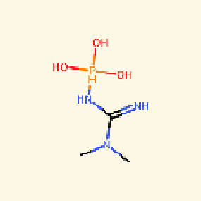 CN(C)C(=N)N[PH](O)(O)O